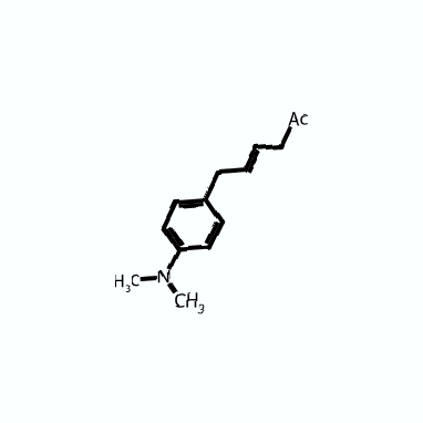 CC(=O)CC=CCc1ccc(N(C)C)cc1